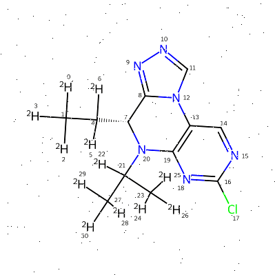 [2H]C([2H])([2H])C([2H])([2H])[C@@H]1c2nncn2-c2cnc(Cl)nc2N1C([2H])(C([2H])([2H])[2H])C([2H])([2H])[2H]